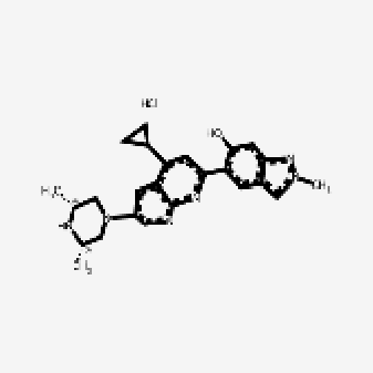 C[C@@H]1CN(c2cnc3nc(-c4cc5cn(C)nc5cc4O)cc(C4CC4)c3c2)C[C@H](C)N1.Cl